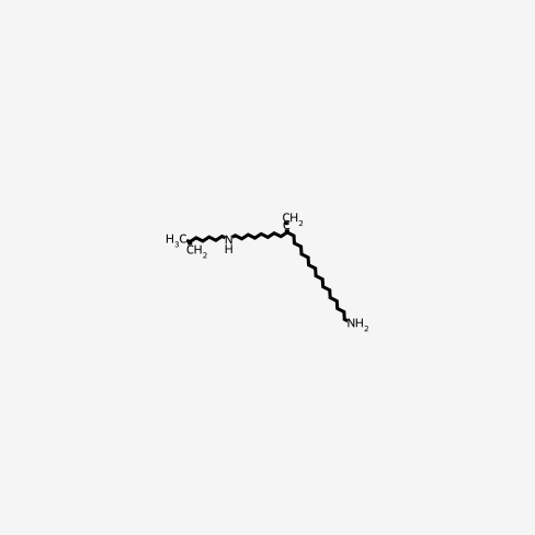 C=C=C(CCCCCCCCCCCCCCCCN)CCCCCCCCNCCCCCC(=C)C